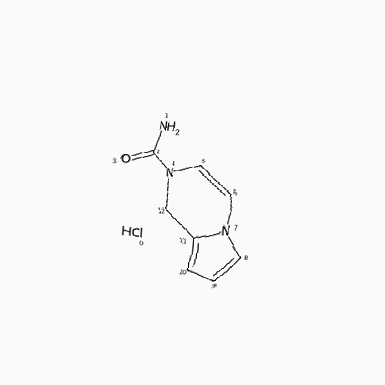 Cl.NC(=O)N1C=Cn2cccc2C1